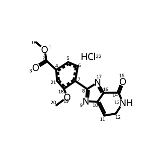 COC(=O)c1ccc(C2=NC3=CCNC(=O)C3=N2)c(OC)c1.Cl